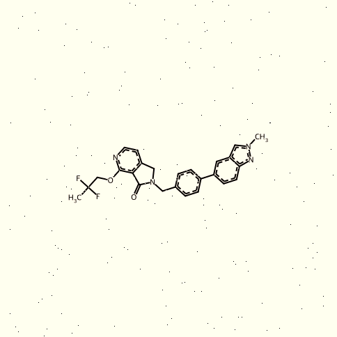 Cn1cc2cc(-c3ccc(CN4Cc5ccnc(OCC(C)(F)F)c5C4=O)cc3)ccc2n1